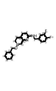 Fc1ccc(CNc2ccc3c(n2)=CN(OCc2ccccc2)CC=3)cc1F